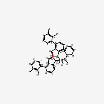 Cc1cccc(-c2cccc3c2C=C[CH]3[Hf]([CH3])([CH3])([CH]2C=Cc3c(-c4cccc(C)c4C)cccc32)=[Si](C)c2ccccc2)c1C